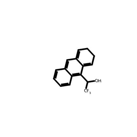 OC(c1c2c(cc3ccccc13)=CCCC=2)C(F)(F)F